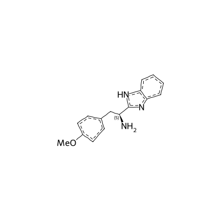 COc1ccc(C[C@H](N)c2nc3ccccc3[nH]2)cc1